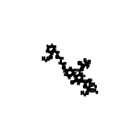 COc1ccccc1COCCCOc1ccc(N2C(=O)CN(C(=O)OC(C)(C)C)C[C@@H]2COS(=O)C(F)(F)F)cc1